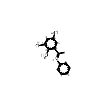 C/C(=N\c1ccccc1)c1cc(Cl)cc(Cl)c1O